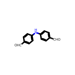 O=Cc1ccc(Nc2ccc(C=O)cc2)cc1